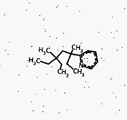 CCC(C)(CC)CC(C)(CC)c1ccccn1